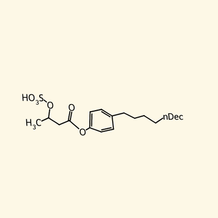 CCCCCCCCCCCCCCc1ccc(OC(=O)CC(C)OS(=O)(=O)O)cc1